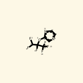 FC(F)C(F)(Oc1cnccn1)C(F)(F)F